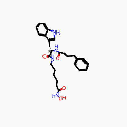 O=C(CCCCCNC(=O)[C@H](Cc1c[nH]c2ccccc12)NC(=O)CCCc1ccccc1)NO